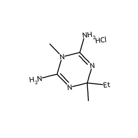 CCC1(C)N=C(N)N(C)C(N)=N1.Cl